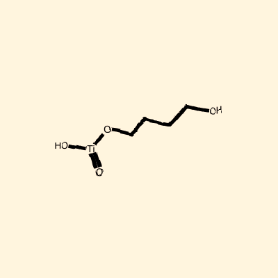 [O]=[Ti]([OH])[O]CCCCO